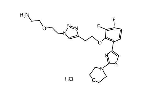 Cl.NCCOCCn1cc(CCOc2c(-c3csc(N4CCOCC4)n3)ccc(F)c2F)nn1